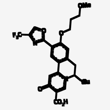 COCCCOc1cc2c(cc1-c1nc(C(F)(F)F)co1)-c1cc(=O)c(C(=O)O)cn1C(C(C)(C)C)C2